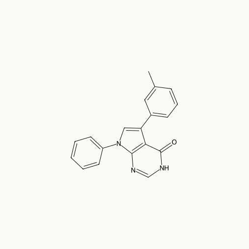 Cc1cccc(-c2cn(-c3ccccc3)c3nc[nH]c(=O)c23)c1